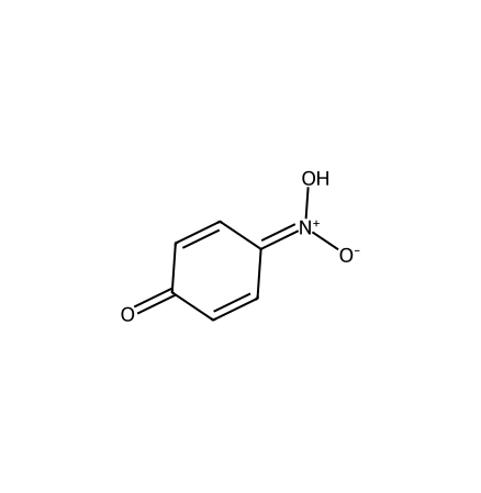 O=C1C=CC(=[N+]([O-])O)C=C1